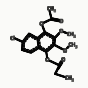 CCC(=O)Oc1c(OC)c(OC)c(OC(C)=O)c2cc(Cl)ccc12